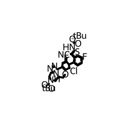 CC(C)(C)OC(=O)Nc1sc2c(F)ccc(C3C(F)=CC4=C(OC[C@H]5CN(C(=O)OC(C)(C)C)Cc6nnc4n65)C3Cl)c2c1C#N